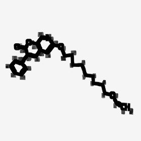 C=COCCCCCCCCCOc1cc2cc(-c3ccccc3)c(=O)oc2cn1